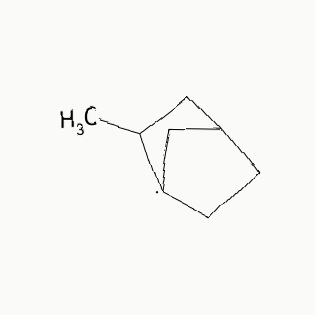 CC1CC2CC[C]1C2